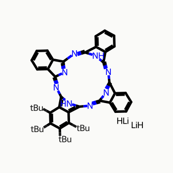 CC(C)(C)c1c(C(C)(C)C)c(C(C)(C)C)c2c3nc4nc(nc5[nH]c(nc6nc(nc([nH]3)c2c1C(C)(C)C)-c1ccccc1-6)c1ccccc51)-c1ccccc1-4.[LiH].[LiH]